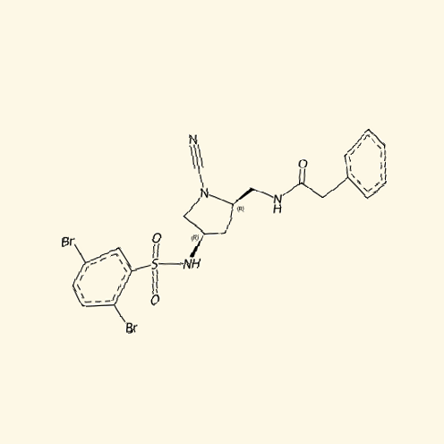 N#CN1C[C@H](NS(=O)(=O)c2cc(Br)ccc2Br)C[C@@H]1CNC(=O)Cc1ccccc1